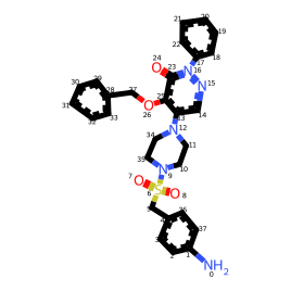 Nc1ccc(CS(=O)(=O)N2CCN(c3cnn(-c4ccccc4)c(=O)c3OCc3ccccc3)CC2)cc1